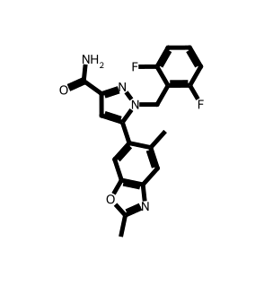 Cc1nc2cc(C)c(-c3cc(C(N)=O)nn3Cc3c(F)cccc3F)cc2o1